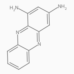 Nc1cc(N)c2nc3ccccc3nc2c1